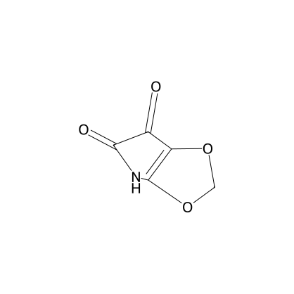 O=C1NC2=C(OCO2)C1=O